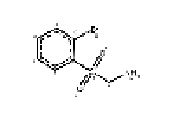 N[CH]S(=O)(=O)c1ccccc1Br